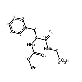 CC(C)OC(=O)N[C@@H](Cc1ccccc1)C(=O)NCC(=O)O